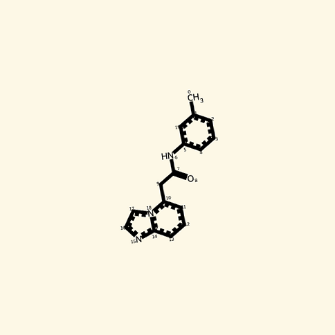 Cc1cccc(NC(=O)Cc2cccc3nccn23)c1